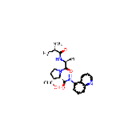 CN[C@@H](C)C(=O)N[C@H](C(=O)N1CCC[C@H]1C(=O)Nc1cccc2ncccc12)C(C)C.O=CO